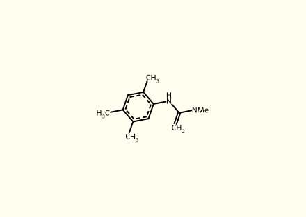 C=C(NC)Nc1cc(C)c(C)cc1C